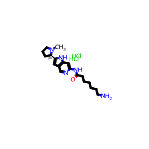 CN1CCC[C@@H]1c1cc2cnc(NC(=O)CCCCCCN)cc2[nH]1.Cl.Cl